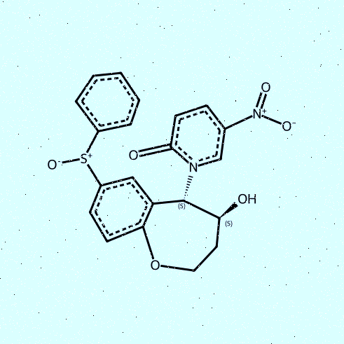 O=c1ccc([N+](=O)[O-])cn1[C@H]1c2cc([S+]([O-])c3ccccc3)ccc2OCC[C@@H]1O